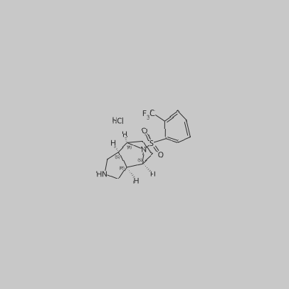 Cl.O=S(=O)(c1ccccc1C(F)(F)F)N1[C@@H]2CC[C@H]1[C@H]1CNC[C@H]12